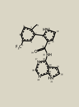 Cc1ccc(C(F)(F)F)cc1-c1[nH]ccc1C(=O)Nc1ncnc2[nH]ccc12